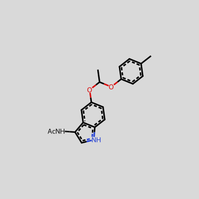 CC(=O)Nc1c[nH]c2ccc(OC(C)Oc3ccc(C)cc3)cc12